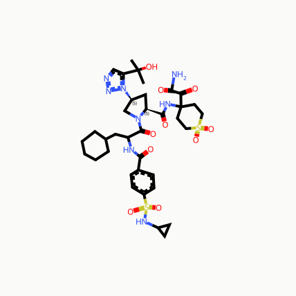 CC(C)(O)c1cnnn1[C@H]1C[C@@H](C(=O)NC2(C(=O)C(N)=O)CCS(=O)(=O)CC2)N(C(=O)C(CC2CCCCC2)NC(=O)c2ccc(S(=O)(=O)NC3CC3)cc2)C1